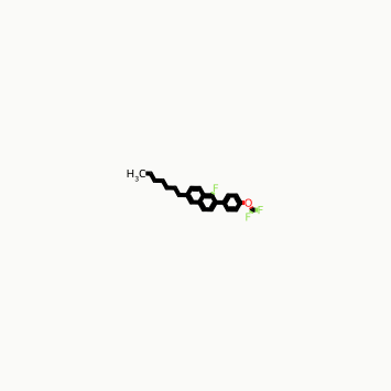 CCCCCCCc1ccc2c(F)c(-c3ccc(OC(F)F)cc3)ccc2c1